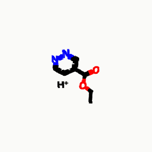 CCOC(=O)c1ccnnc1.[H+]